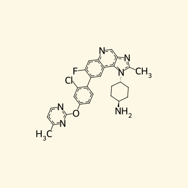 Cc1ccnc(Oc2ccc(-c3cc4c(cc3F)ncc3nc(C)n([C@H]5CC[C@H](N)CC5)c34)c(Cl)c2)n1